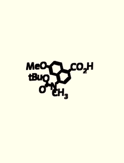 COc1ccc2c(C(=O)O)ccc(N(C)C(=O)OC(C)(C)C)c2c1